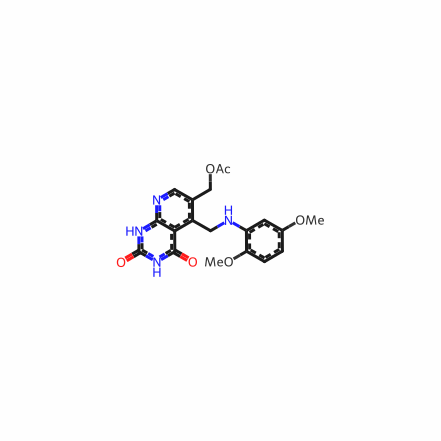 COc1ccc(OC)c(NCc2c(COC(C)=O)cnc3[nH]c(=O)[nH]c(=O)c23)c1